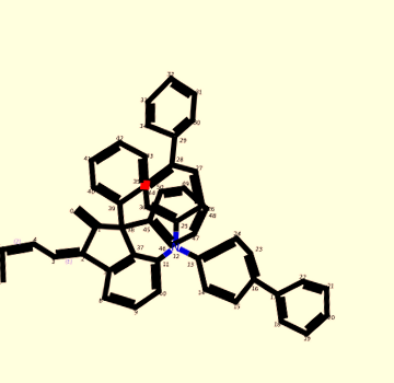 C=C1/C(=C\C=C/C)c2cccc(N(c3ccc(-c4ccccc4)cc3)c3ccc(-c4ccccc4)cc3)c2C1(c1ccccc1)c1ccccc1